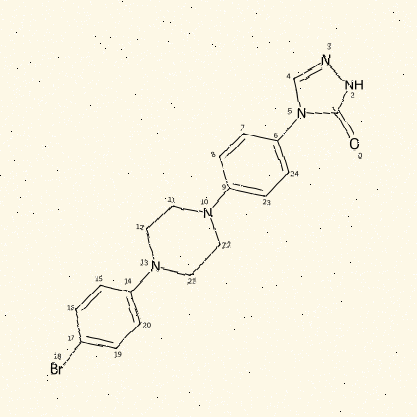 O=c1[nH]ncn1-c1ccc(N2CCN(c3ccc(Br)cc3)CC2)cc1